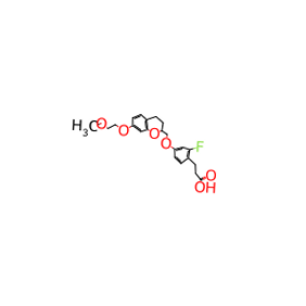 COCCOc1ccc2c(c1)OC(COc1ccc(CCC(=O)O)c(F)c1)CC2